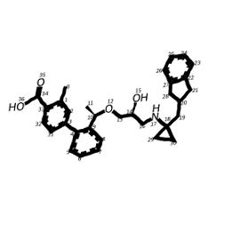 Cc1cc(-c2ccccc2[C@@H](C)OC[C@@H](O)CNC2(CC3Cc4ccccc4C3)CC2)ccc1C(=O)O